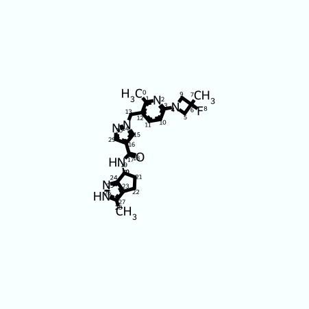 Cc1nc(N2CC(C)(F)C2)ccc1Cn1cc(C(=O)N[C@@H]2CCc3c2n[nH]c3C)cn1